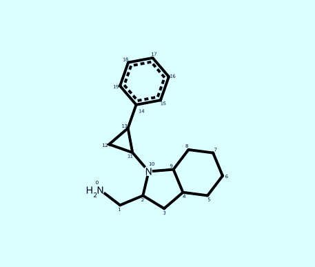 NCC1CC2CCCCC2N1C1CC1c1ccccc1